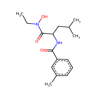 CCN(O)C(=O)C(CC(C)C)NC(=O)c1cccc(C)c1